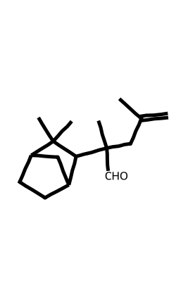 C=C(C)CC(C)(C=O)C1C2CCC(C2)C1(C)C